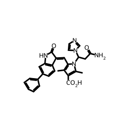 Cc1c(C(=O)O)c(C)n(C(CC(N)=O)n2ccnc2)c1C=C1C(=O)Nc2cc(-c3ccccc3)ccc21